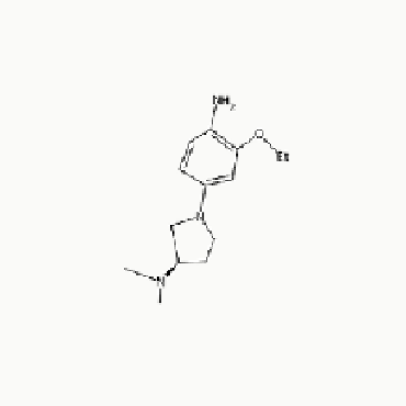 CCOc1cc(N2CC[C@@H](N(C)C)C2)ccc1N